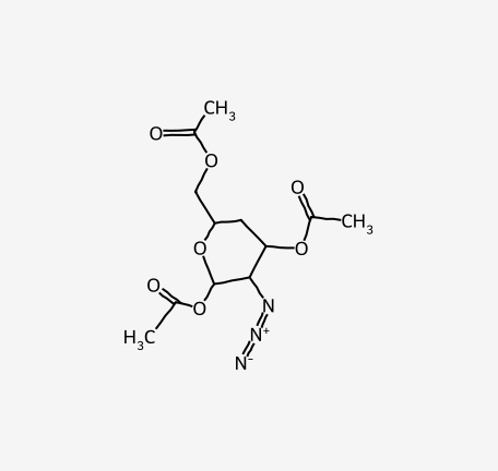 CC(=O)OCC1CC(OC(C)=O)C(N=[N+]=[N-])C(OC(C)=O)O1